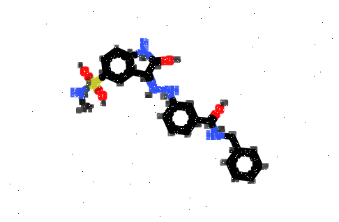 CC(C)NS(=O)(=O)c1ccc2c(c1)/C(=N/Nc1cccc(C(=O)NCc3ccccc3)c1)C(=O)N2